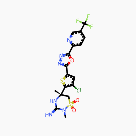 CN1C(=N)N[C@](C)(c2sc(-c3nnc(-c4ccc(C(F)(F)F)cn4)o3)cc2Cl)CS1(=O)=O